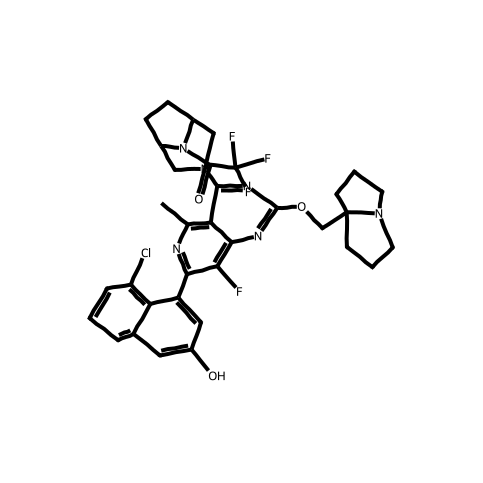 Cc1nc(-c2cc(O)cc3cccc(Cl)c23)c(F)c2nc(OCC34CCCN3CCC4)nc(N3CC4CCC(C3)N4C(=O)C(F)(F)F)c12